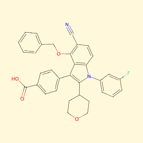 N#Cc1ccc2c(c1OCc1ccccc1)c(-c1ccc(C(=O)O)cc1)c(C1CCOCC1)n2-c1cccc(F)c1